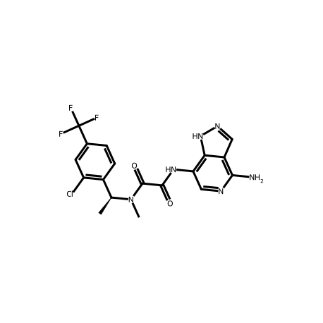 C[C@@H](c1ccc(C(F)(F)F)cc1Cl)N(C)C(=O)C(=O)Nc1cnc(N)c2cn[nH]c12